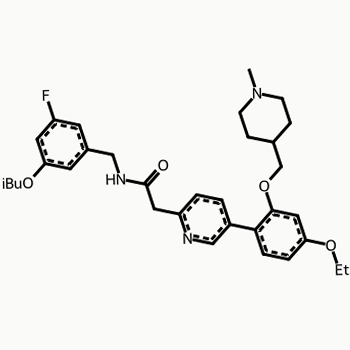 CCOc1ccc(-c2ccc(CC(=O)NCc3cc(F)cc(OCC(C)C)c3)nc2)c(OCC2CCN(C)CC2)c1